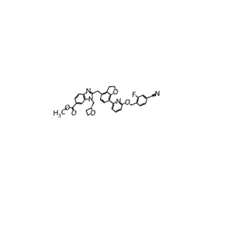 COC(=O)c1ccc2nc(Cc3ccc(-c4cccc(OCc5ccc(C#N)cc5F)n4)c4c3CCO4)n(C[C@@H]3CCO3)c2c1